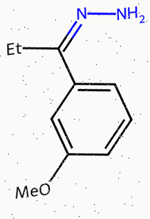 CC/C(=N/N)c1cccc(OC)c1